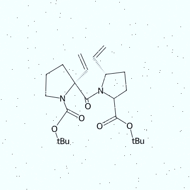 C=C[C@@H]1CCC(C(=O)OC(C)(C)C)N1C(=O)[C@]1(C=C)CCCN1C(=O)OC(C)(C)C